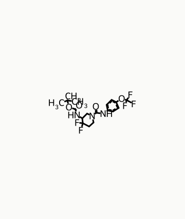 CC(C)(C)OC(=O)NC1CN(C(=O)Nc2ccc(OC(F)(F)F)cc2)CCC1(F)F